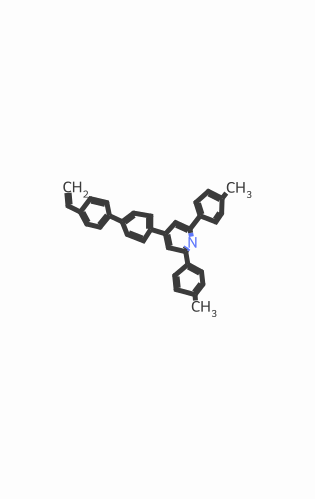 C=Cc1ccc(-c2ccc(-c3cc(-c4ccc(C)cc4)nc(-c4ccc(C)cc4)c3)cc2)cc1